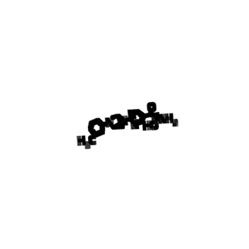 Cc1cccc(N2CC3CC2CN3c2ncc(C(=O)N(N)O)cn2)c1